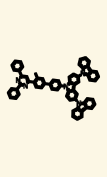 Cc1cc(-c2ccc(-n3c4ccc(-n5c6ccccc6c6ccccc65)cc4c4cc(-n5c6ccccc6c6ccccc65)ccc43)cc2)ccc1-c1cc(-c2ccccc2)nc(-c2ccccc2)n1